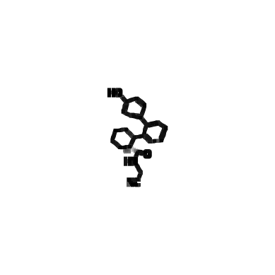 N#CCNC(=O)[C@@H]1CCCCC1c1ccccc1-c1ccc(O)cc1